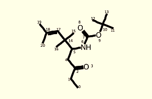 CCC(=O)CC(NC(=O)OC(C)(C)C)C(C)(C)C=C(C)C